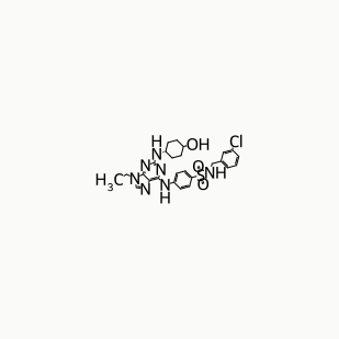 CCn1cnc2c(Nc3ccc(S(=O)(=O)NCc4cccc(Cl)c4)cc3)nc(N[C@H]3CC[C@H](O)CC3)nc21